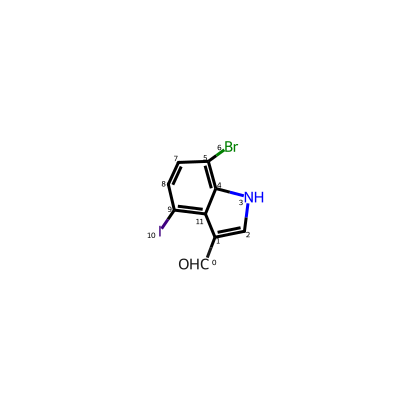 O=Cc1c[nH]c2c(Br)ccc(I)c12